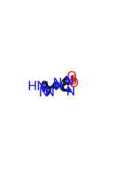 CS(=O)(=O)N1CCC(C(CC#N)n2cc(-c3ncnc4[nH]ccc34)cn2)C1